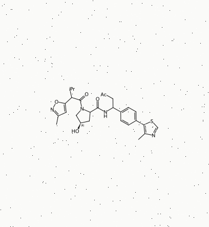 CC(=O)CC(NC(=O)C1C[C@@H](O)CN1C(=O)C(c1cc(C)no1)C(C)C)c1ccc(-c2scnc2C)cc1